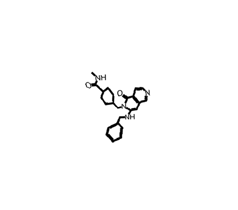 CNC(=O)C1CCC(Cn2c(NCc3ccccc3)cc3cnccc3c2=O)CC1